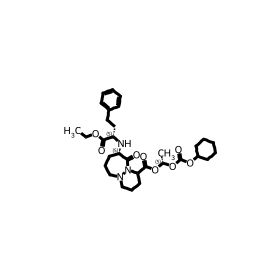 CCOC(=O)[C@H](CCc1ccccc1)N[C@H]1CCCN2CCCC(C(=O)O[C@H](C)OC(=O)OC3CCCCC3)N2C1=O